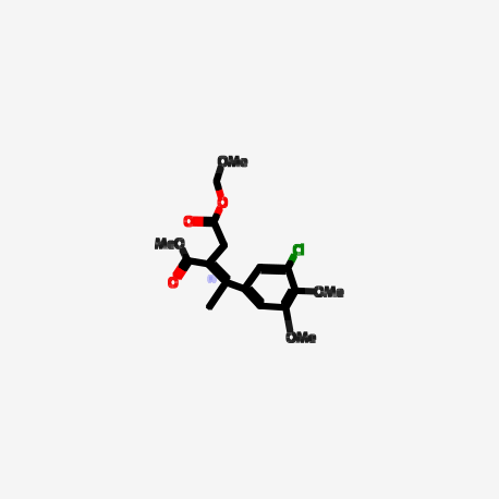 COCOC(=O)C/C(C(=O)OC)=C(/C)c1cc(Cl)c(OC)c(OC)c1